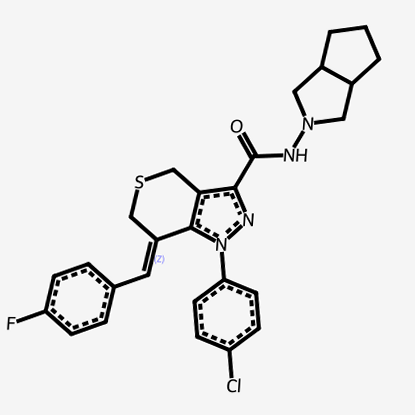 O=C(NN1CC2CCCC2C1)c1nn(-c2ccc(Cl)cc2)c2c1CSC/C2=C\c1ccc(F)cc1